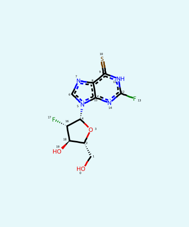 OC[C@H]1O[C@@H](n2cnc3c(=S)[nH]c(F)nc32)[C@@H](F)[C@@H]1O